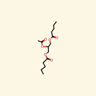 CCCCC(=O)OCC(COC(=O)CCCC)OC(C)=O